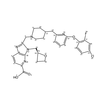 O=C(O)c1ccc2nc(CN3CCC(Cc4cccc(Oc5ccc(Cl)cc5F)n4)CC3)n(C[C@@H]3CCO3)c2n1